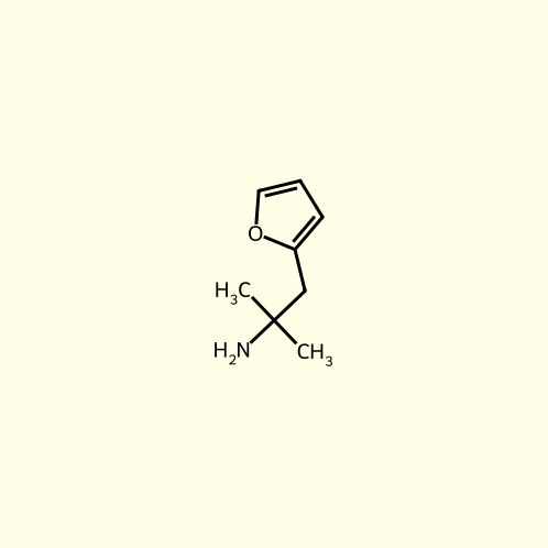 CC(C)(N)Cc1ccco1